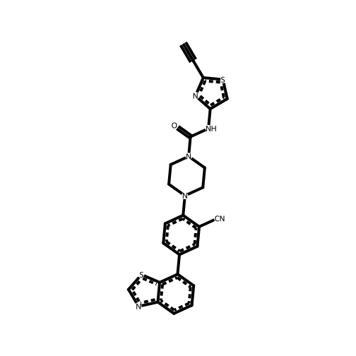 C#Cc1nc(NC(=O)N2CCN(c3ccc(-c4cccc5ncsc45)cc3C#N)CC2)cs1